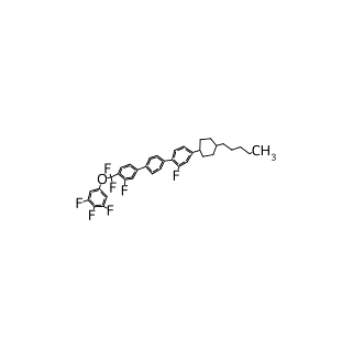 CCCCCC1CCC(c2ccc(-c3ccc(-c4ccc(C(F)(F)Oc5cc(F)c(F)c(F)c5)c(F)c4)cc3)c(F)c2)CC1